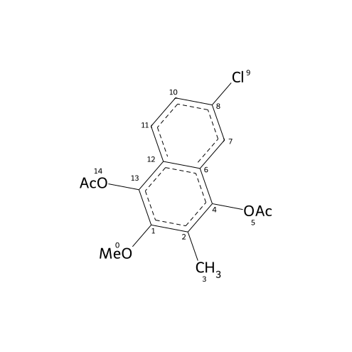 COc1c(C)c(OC(C)=O)c2cc(Cl)ccc2c1OC(C)=O